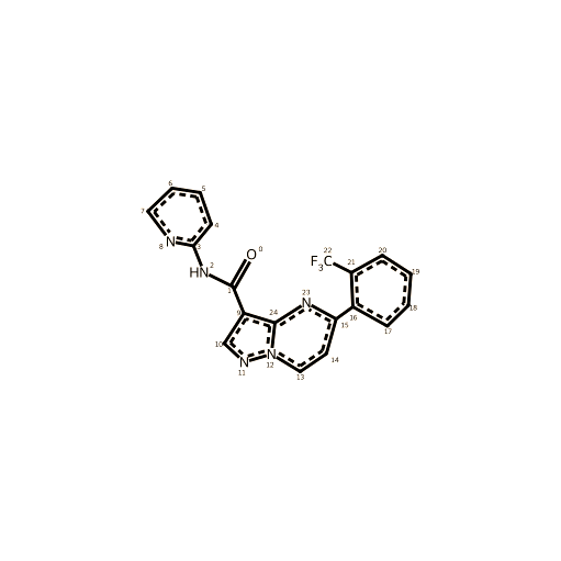 O=C(Nc1ccccn1)c1cnn2ccc(-c3ccccc3C(F)(F)F)nc12